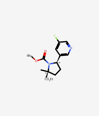 CCOC(=O)[C@]1(C)CC[C@H](c2cncc(F)c2)N1C(=O)OC(C)(C)C